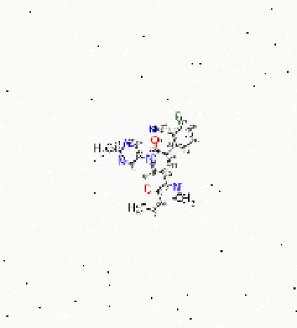 C=NC1=C(/C=C\C)OCc2c1cc(-c1cccc(F)c1C#N)c(=O)n2-c1cnc(C)nc1